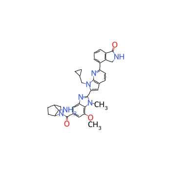 COc1cc(C(=O)N2CC3CCC2C3N)cc2nc(-c3cc4ccc(-c5cccc6c5CNC6=O)nc4n3CC3CC3)n(C)c12